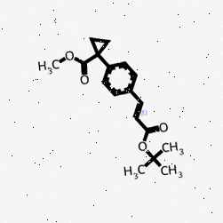 COC(=O)C1(c2ccc(/C=C/C(=O)OC(C)(C)C)cc2)CC1